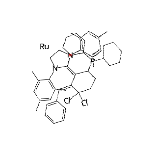 Cc1cc(C)c(N2CCN(c3c(C)cc(C)cc3C)C2=C2C(=Cc3ccccc3)C(Cl)(Cl)CCC2P(C2CCCCC2)C2CCCCC2)c(C)c1.[Ru]